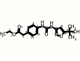 CCOC(=O)Cc1ccc(NC(=O)Nc2cc(C(C)(C)C)on2)cc1